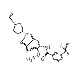 COc1nc2nn([C@H]3CC[C@H](C=O)CC3)cc2cc1NC(=O)c1cccc(C(F)(F)F)n1